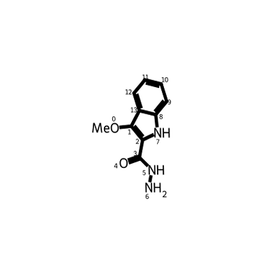 COc1c(C(=O)NN)[nH]c2ccccc12